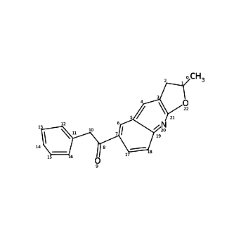 CC1Cc2cc3cc(C(=O)Cc4ccccc4)ccc3nc2O1